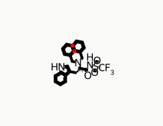 O=C(NS(=O)(=O)C(F)(F)F)[C@@H](Cc1c[nH]c2ccccc12)N(Cc1ccccc1)Cc1ccccc1